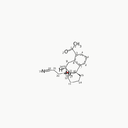 CC(=O)c1cccc2c1C[C@@H]1[C@@H]3CCCC[C@]23CCN1CCC#N